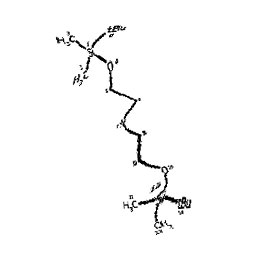 CC(C)(C)[Si](C)(C)OCC[N]CCO[Si](C)(C)C(C)(C)C